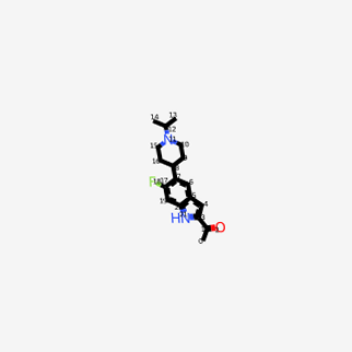 CC(=O)c1cc2cc(C3CCN(C(C)C)CC3)c(F)cc2[nH]1